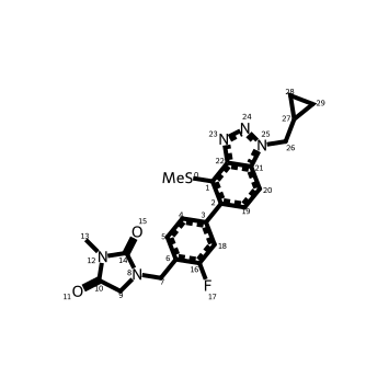 CSc1c(-c2ccc(CN3CC(=O)N(C)C3=O)c(F)c2)ccc2c1nnn2CC1CC1